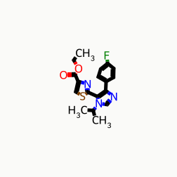 CCOC(=O)c1csc(-c2c(-c3ccc(F)cc3)ncn2C(C)C)n1